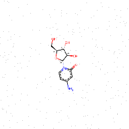 Nc1ccn([C@@H]2O[C@@H](CO)[C@H](O)[C@H]2O)c(=O)c1